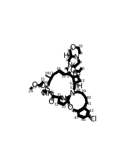 CCO[C@@]1(CN2CCN3CCOC[C@@H]3C2)/C=C/C[C@H](C)[C@@H](CCOC)S(=O)(=O)NC(=O)c2ccc3c(n2)N(CCCCc2cc(Cl)ccc2CO3)C[C@@H]2CC[C@H]21